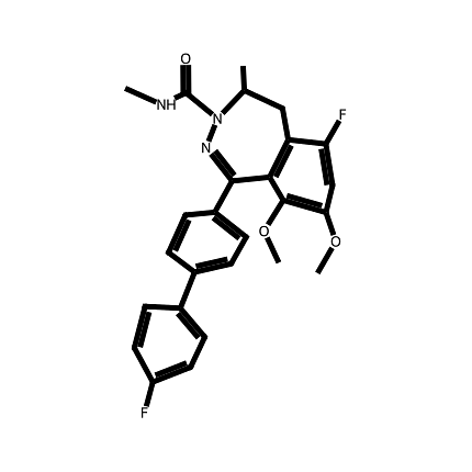 CNC(=O)N1N=C(c2ccc(-c3ccc(F)cc3)cc2)c2c(c(F)cc(OC)c2OC)CC1C